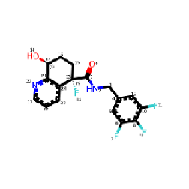 O=C(NCc1cc(F)c(F)c(F)c1)[C@]1(F)CC[C@H](O)c2ncccc21